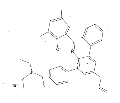 C=CCc1cc(-c2ccccc2)c(N=Cc2cc(C)cc(C)c2[O-])c(-c2ccccc2)c1.CCP(CC)CC.[Ni+]